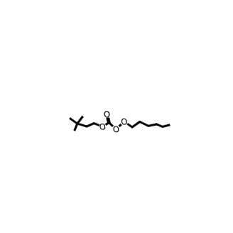 CCCCCCOOC(=O)OCCC(C)(C)C